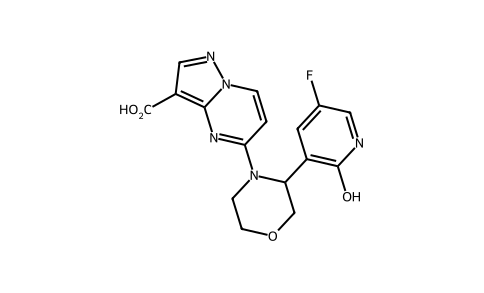 O=C(O)c1cnn2ccc(N3CCOCC3c3cc(F)cnc3O)nc12